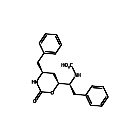 O=C(O)N[C@@H](Cc1ccccc1)[C@@H]1C[C@H](Cc2ccccc2)NC(=O)O1